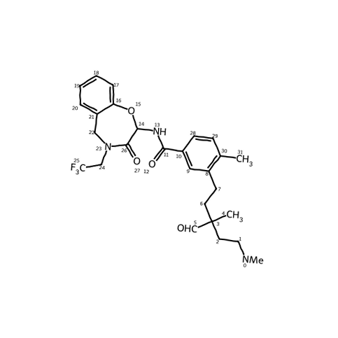 CNCCC(C)(C=O)CCc1cc(C(=O)NC2Oc3ccccc3CN(CC(F)(F)F)C2=O)ccc1C